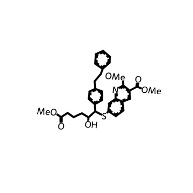 COC(=O)CCCC(O)C(Sc1ccc2cc(C(=O)OC)c(OC)nc2c1)c1ccc(CCc2ccccc2)cc1